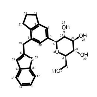 OC[C@H]1O[C@@H](c2cc3c(c(Cc4cc5ccccc5s4)c2)CCC3)[C@H](O)[C@@H](O)[C@@H]1O